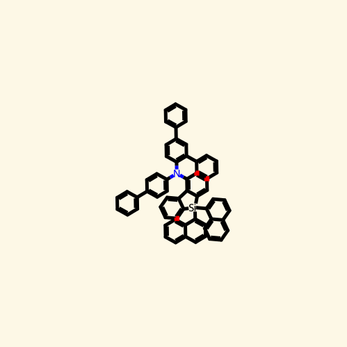 c1ccc(-c2ccc(N(c3ccc(-c4ccccc4)cc3-c3ccccc3)c3cccc4c3-c3ccccc3[Si]4(c3cccc4ccccc34)c3cccc4ccccc34)cc2)cc1